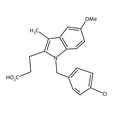 COc1ccc2c(c1)c(C)c(CCC(=O)O)n2Cc1ccc(Cl)cc1